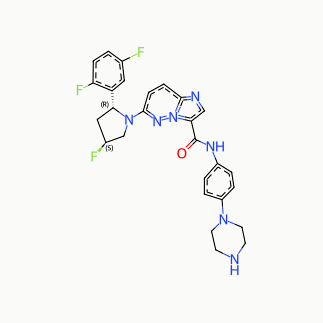 O=C(Nc1ccc(N2CCNCC2)cc1)c1cnc2ccc(N3C[C@@H](F)C[C@@H]3c3cc(F)ccc3F)nn12